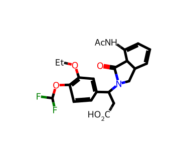 CCOc1cc(C(CC(=O)O)N2CC3C=CC=C(NC(C)=O)C3C2=O)ccc1OC(F)F